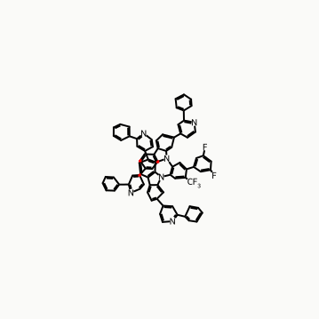 Fc1cc(F)cc(-c2cc(-n3c4cc(-c5ccnc(-c6ccccc6)c5)ccc4c4ccc(-c5ccnc(-c6ccccc6)c5)cc43)c(-n3c4cc(-c5ccnc(-c6ccccc6)c5)ccc4c4ccc(-c5ccnc(-c6ccccc6)c5)cc43)cc2C(F)(F)F)c1